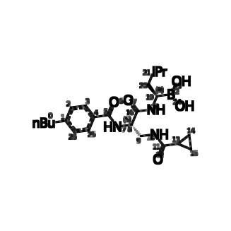 CCCCc1ccc(C(=O)N[C@@H](CNC(=O)C2CC2)C(=O)N[C@@H](CC(C)C)B(O)O)cc1